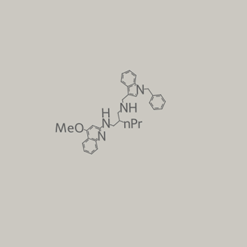 CCCC(CNCc1cn(Cc2ccccc2)c2ccccc12)CNc1cc(OC)c2ccccc2n1